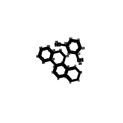 C1=c2ccc3c(c2=CCC1)CCc1ccccc1-3.Oc1cccc(O)c1